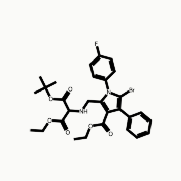 CCOC(=O)c1c(-c2ccccc2)c(Br)n(-c2ccc(F)cc2)c1CNC(C(=O)OCC)C(=O)OC(C)(C)C